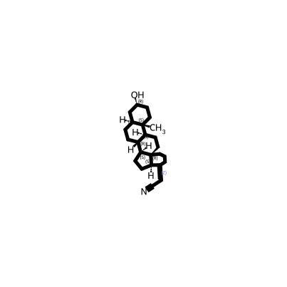 C[C@]12CC[C@@H](O)C[C@@H]1CC[C@@H]1[C@@H]2CC[C@@]23CCC/C(=C/C#N)[C@H]2CC[C@@H]13